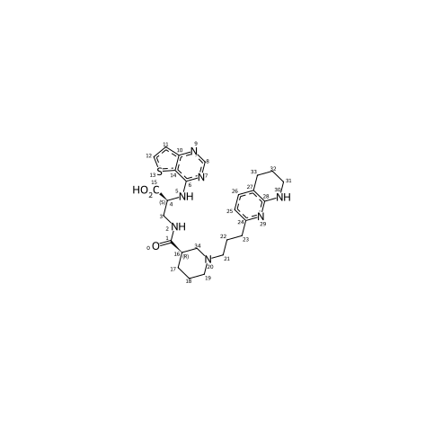 O=C(NC[C@H](Nc1ncnc2ccsc12)C(=O)O)[C@@H]1CCCN(CCCc2ccc3c(n2)NCCC3)C1